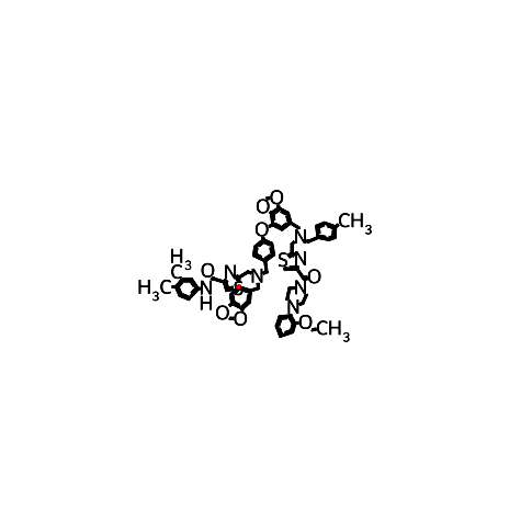 CCOc1ccccc1N1CCN(C(=O)c2csc(CN(Cc3ccc(C)cc3)Cc3cc4c(c(Oc5ccc(CN(Cc6ccc7c(c6)OCO7)Cc6nc(C(=O)Nc7ccc(C)c(C)c7)cs6)cc5)c3)OCO4)n2)CC1